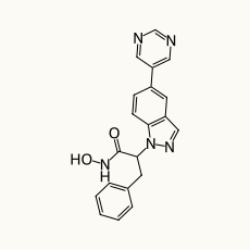 O=C(NO)C(Cc1ccccc1)n1ncc2cc(-c3cncnc3)ccc21